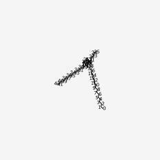 CCCCCCCCCCCCCCCCCCCC1N(CCCCC)C=CN1CCCCCCCCCCCCCC